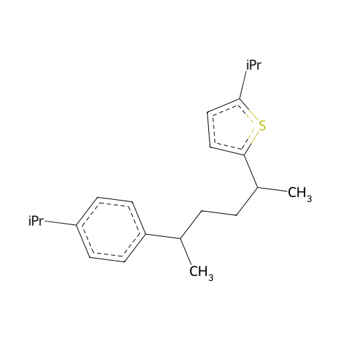 CC(C)c1ccc(C(C)CCC(C)c2ccc(C(C)C)s2)cc1